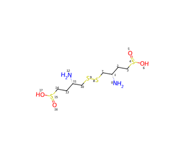 N[C@@H](CCS(=O)O)CSSC[C@@H](N)CCS(=O)O